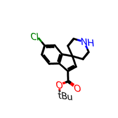 CC(C)(C)OC(=O)C1=CC2(CCNCC2)c2cc(Cl)ccc21